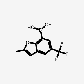 Cc1cc2cc(C(F)(F)F)cc(B(O)O)c2o1